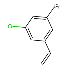 C=Cc1cc(Cl)cc([C](C)C)c1